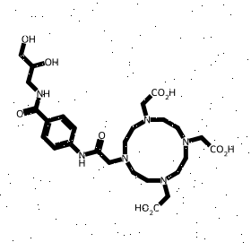 O=C(O)CN1CCN(CC(=O)O)CCN(CC(=O)Nc2ccc(C(=O)NCC(O)CO)cc2)CCN(CC(=O)O)CC1